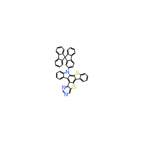 c1ccc2c(c1)-c1ccccc1C21c2ccccc2-c2ccc(-n3c4ccccc4c4c5c6ncncc6sc5c5c6ccccc6sc5c43)cc21